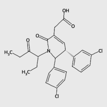 CCC(=O)C(CC)N1C(=O)C(CC(=O)O)=C[C@H](c2cccc(Cl)c2)C1c1ccc(Cl)cc1